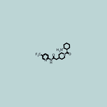 N[C@@H]1CCCC[C@H]1C(=O)N1CCC(CC(=O)Nc2ccc(C(F)(F)F)cn2)CC1